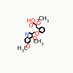 CCOC(Cc1ccccc1OCc1cnc2ccc(OC)cc2c1OC)C(=O)O